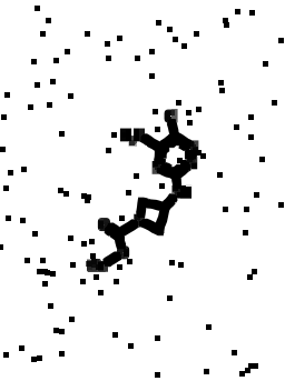 CC(C)(C)OC(=O)N1CC(Nc2nnc(Cl)c(N)n2)C1